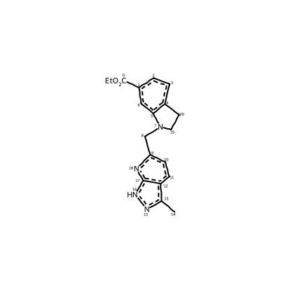 CCOC(=O)c1ccc2c(c1)N(Cc1ccc3c(C)n[nH]c3n1)CC2